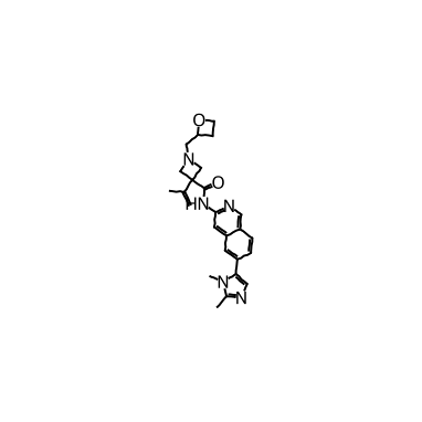 C=C(C)C1(C(=O)Nc2cc3cc(-c4cnc(C)n4C)ccc3cn2)CN(CC2CCO2)C1